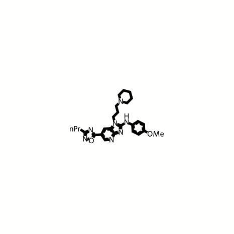 CCCc1noc(-c2cnc3nc(Nc4ccc(OC)cc4)n(CCCN4CCCCC4)c3c2)n1